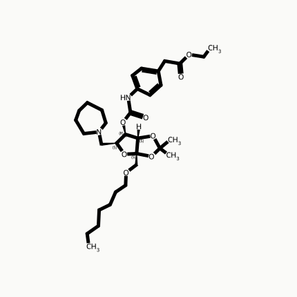 CCCCCCCOC[C@@]12O[C@@H](CN3CCCCCC3)[C@@H](OC(=O)Nc3ccc(CC(=O)OCC)cc3)[C@@H]1OC(C)(C)O2